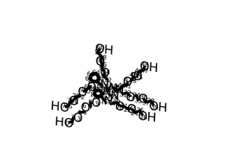 OCCOCCOCCOc1ccccc1CN(CCOCCOCCO)c1nc(N(CCOCCOCCO)CCOCSOCCO)nc(N(CCOCCOCCO)Cc2ccccc2OCCOCCOCCO)n1